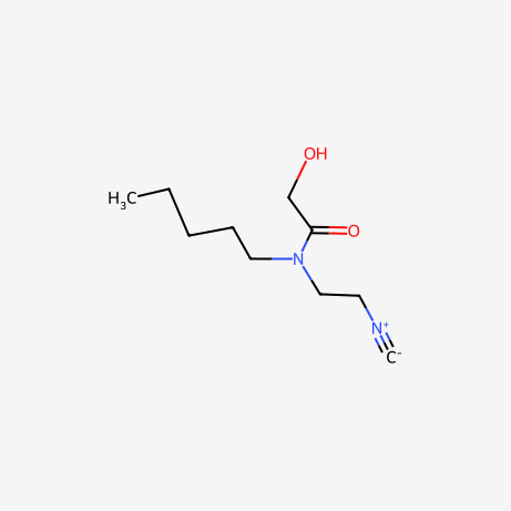 [C-]#[N+]CCN(CCCCC)C(=O)CO